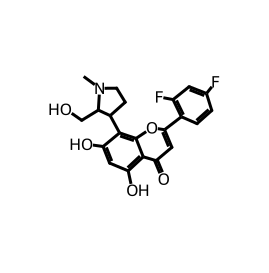 CN1CCC(c2c(O)cc(O)c3c(=O)cc(-c4ccc(F)cc4F)oc23)C1CO